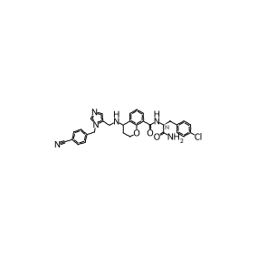 N#Cc1ccc(Cn2cncc2CNC2CCOc3c(C(=O)N[C@@H](Cc4ccc(Cl)cc4)C(N)=O)cccc32)cc1